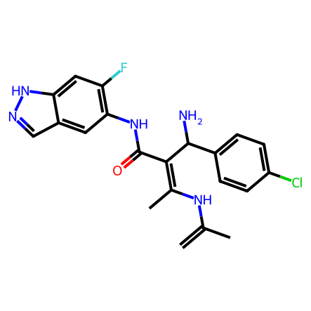 C=C(C)N/C(C)=C(/C(=O)Nc1cc2cn[nH]c2cc1F)C(N)c1ccc(Cl)cc1